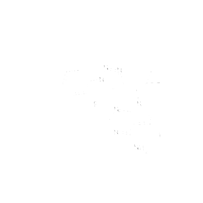 Nc1ncnc2c1c(I)cn2C(c1cn(-c2ccccc2F)nn1)C1CC1